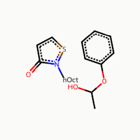 CC(O)Oc1ccccc1.CCCCCCCCn1sccc1=O